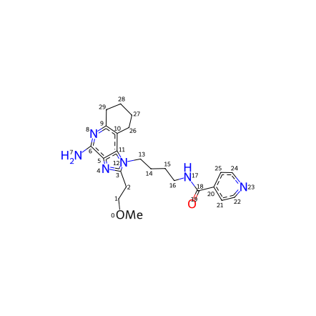 COCCc1nc2c(N)nc3c(c2n1CCCCNC(=O)c1ccncc1)CCCC3